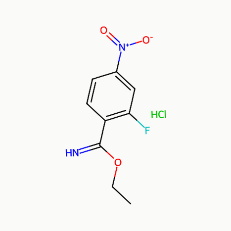 CCOC(=N)c1ccc([N+](=O)[O-])cc1F.Cl